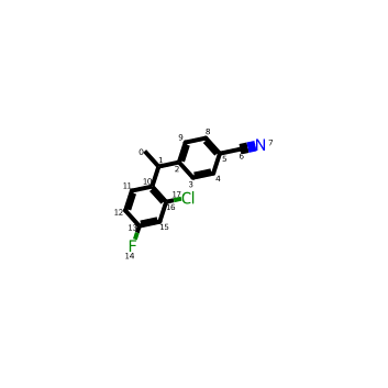 CC(c1ccc(C#N)cc1)c1ccc(F)cc1Cl